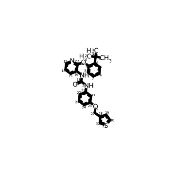 CC(C)(C)c1ccccc1Oc1ncccc1NC(=O)Nc1cccc(OCc2ccsc2)c1